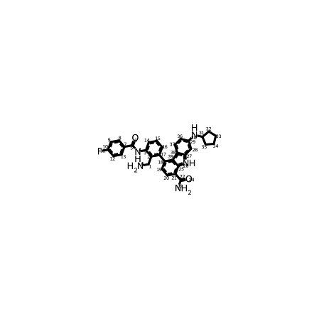 NCc1c(NC(=O)c2ccc(F)cc2)cccc1-c1ccc(C(N)=O)c2[nH]c3cc(NC4CCCC4)ccc3c12